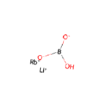 [Li+].[O-]B([O-])O.[Rb+]